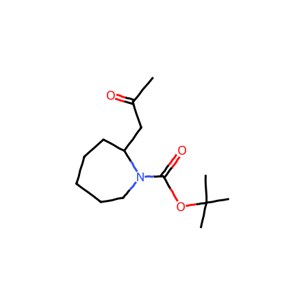 CC(=O)CC1CCCCCN1C(=O)OC(C)(C)C